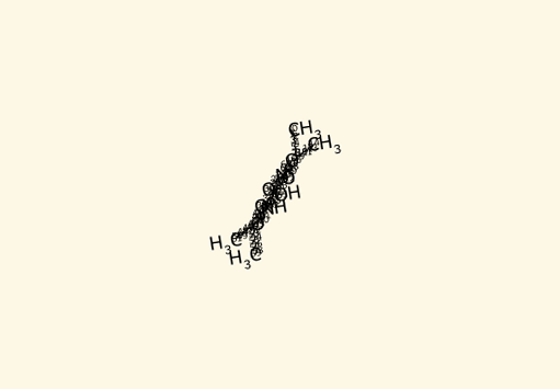 CCCCCCCCC(CCCCCC)COc1ccc(C(=O)N=C2C=CC(=C3C(=O)C(c4ccc(NC(=O)c5ccc(OCC(CCCCCC)CCCCCCCC)cc5)cc4)=C3O)C=C2)cc1